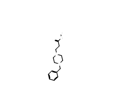 O=C(CCN1CCN(Cc2ccccc2)CC1)NO